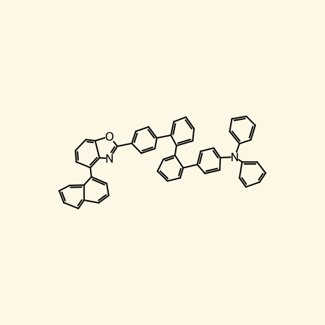 c1ccc(N(c2ccccc2)c2ccc(-c3ccccc3-c3ccccc3-c3ccc(-c4nc5c(-c6cccc7ccccc67)cccc5o4)cc3)cc2)cc1